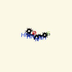 O=C(Nc1cnc2[nH]c(-c3ccc(F)cc3)cc2c1)c1n[nH]c2c1CCCC2